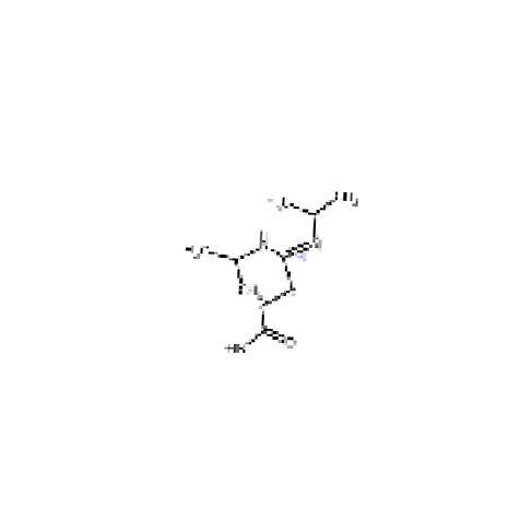 CC(C)/N=C(\NC(C)C)SCC([NH])=O